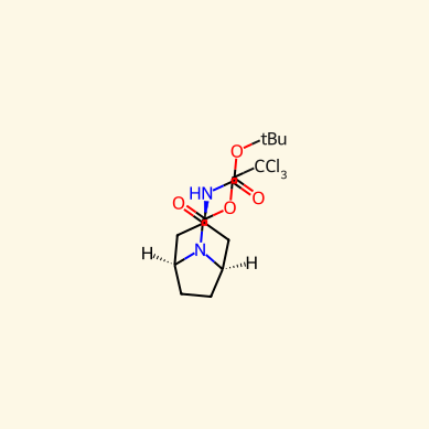 CC(C)(C)OC(=O)N[C@H]1C[C@H]2CC[C@@H](C1)N2C(=O)OCC(Cl)(Cl)Cl